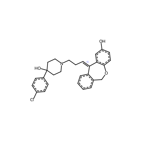 Oc1ccc2c(c1)/C(=C/CCN1CCC(O)(c3ccc(Cl)cc3)CC1)c1ccccc1CO2